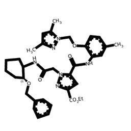 CCOC(=O)c1cc(C(=O)Nc2cc(C)ccc2OCn2nc(C)cc2C)n(CC(=O)NC2CCCC[C@@H]2OCc2ccccc2)n1